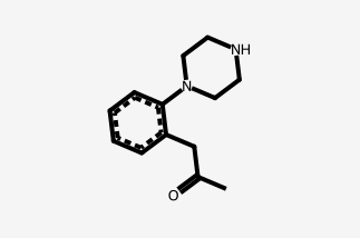 CC(=O)Cc1ccccc1N1CCNCC1